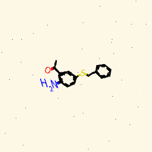 CC(=O)c1cc(SCc2ccccc2)ccc1N